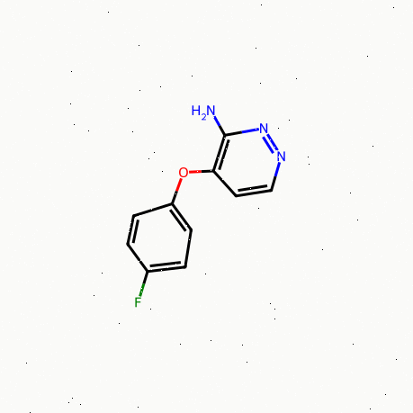 Nc1nnccc1Oc1ccc(F)cc1